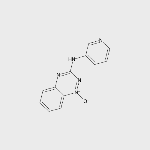 [O-][n+]1nc(Nc2cccnc2)nc2ccccc21